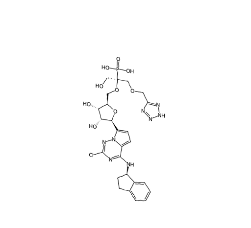 O=P(O)(O)[C@@](CO)(COCc1nn[nH]n1)OC[C@H]1O[C@@H](c2ccc3c(N[C@@H]4CCc5ccccc54)nc(Cl)nn23)[C@H](O)[C@@H]1O